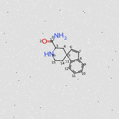 NC(=O)C1CC2(C=Cc3ccccc32)CCN1